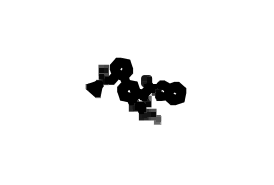 Nc1nc(C(=O)N2Cc3ccccc3C2)c2cc(-c3ccccc3CNC3CC3)ccc2n1